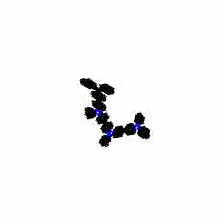 c1ccc(C(c2ccccc2)c2ccc(-c3ccc(N(c4ccccc4)c4ccc(-c5ccc(N(c6ccccc6)c6ccc(-c7ccc(N(c8ccccc8)c8ccccc8)cc7)cc6)cc5)cc4)cc3)cc2)cc1